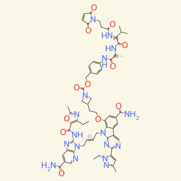 CCc1nc(C)oc1C(=O)Nc1nc2cc(C(N)=O)cnc2n1C/C=C/Cn1c2nc(-c3cc(C)nn3CC)ncc2c2cc(C(N)=O)cc(OCCC3CN(C(=O)OCc4ccc(NC(=O)[C@@H](C)NC(=O)[C@H](NC(=O)CCN5C(=O)C=CC5=O)C(C)C)cc4)C3)c21